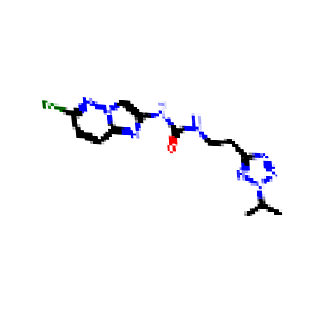 CC(C)n1nnc(CCNC(=O)Nc2cn3nc(Br)ccc3n2)n1